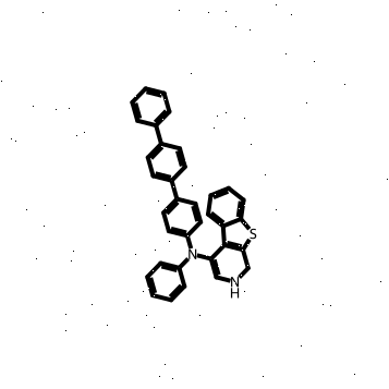 C1=C(N(c2ccccc2)c2ccc(-c3ccc(-c4ccccc4)cc3)cc2)c2c(sc3ccccc23)CN1